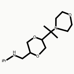 CC(C)NCC1COC(C(C)(C)N2CCOCC2)CO1